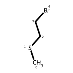 CSCCBr